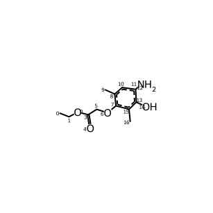 CCOC(=O)COc1c(C)cc(N)c(O)c1C